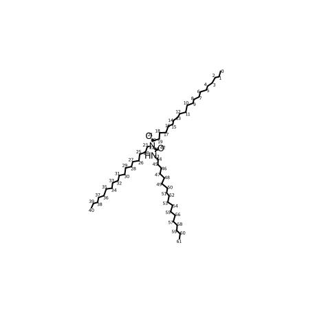 CCCCCCCCCCCCCCCCCCCCC(=O)N(CCCCCCCCCCCCCCCCCC)C(=O)NCCCCCCCCCCCCCCCCCC